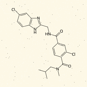 CC(C)CN(C)C(=O)c1ccc(C(=O)NCc2nc3cc(Cl)ccc3[nH]2)cc1Cl